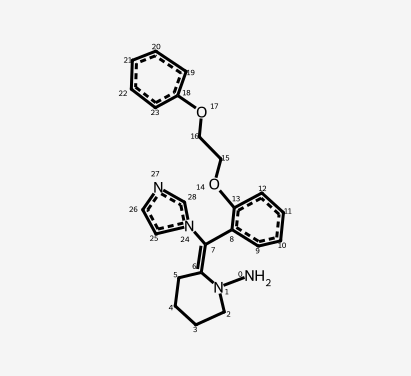 NN1CCCCC1=C(c1ccccc1OCCOc1ccccc1)n1ccnc1